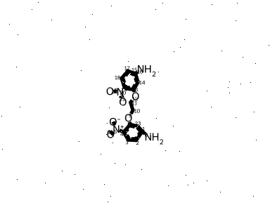 Nc1ccc([N+](=O)[O-])c(OCCOc2cc(N)ccc2[N+](=O)[O-])c1